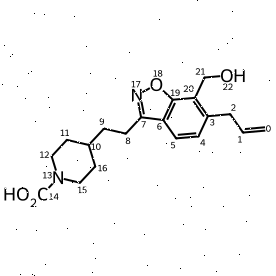 C=CCc1ccc2c(CCC3CCN(C(=O)O)CC3)noc2c1CO